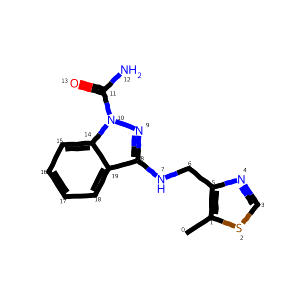 Cc1scnc1CNc1nn(C(N)=O)c2c[c]ccc12